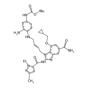 CCn1nc(C)cc1C(=O)Nc1nc2cc(C(N)=O)cc(OCC3CC3)c2n1CC=CCNc1ccc(NC(=O)OC(C)(C)C)cc1N